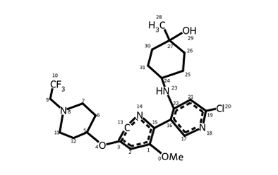 COc1cc(OC2CCN(CC(F)(F)F)CC2)cnc1-c1cnc(Cl)cc1NC1CCC(C)(O)CC1